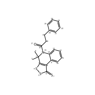 CC1(C)c2ssc(=S)c2-c2ccccc2N1C(=O)CCc1ccccc1